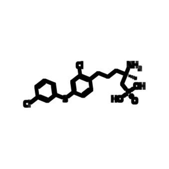 C[C@@](N)(CCCc1ccc(Sc2cccc(Cl)c2)cc1Cl)CP(=O)(O)O